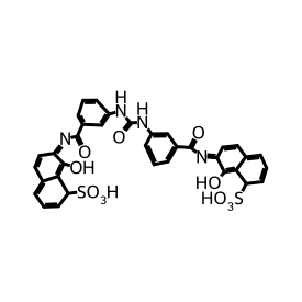 O=C(Nc1cccc(C(=O)N=C2C=CC3=CC=CC(S(=O)(=O)O)C3=C2O)c1)Nc1cccc(C(=O)N=C2C=CC3=CC=CC(S(=O)(=O)O)C3=C2O)c1